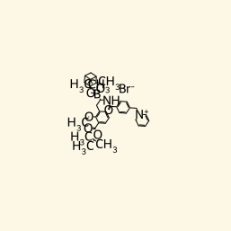 COc1c(CC(NC(=O)c2ccc(C[n+]3ccccc3)cc2)B2OC3CC4CC(C4(C)C)C3(C)O2)cccc1C(=O)OC(C)(C)C.[Br-]